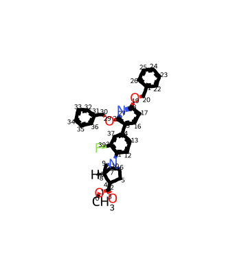 COC(=O)C1CC2C[C@H]1CN2c1ccc(-c2ccc(OCc3ccccc3)nc2OCc2ccccc2)cc1F